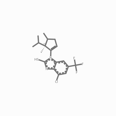 CC(C)[C@]1(C)C(n2c(S)nc3c(Cl)cc(C(F)(F)F)cc32)=CCC1C